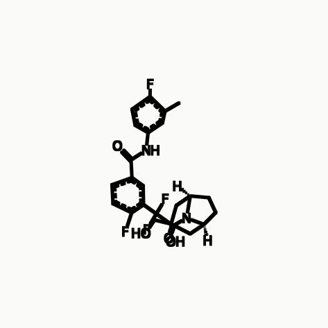 Cc1cc(NC(=O)c2ccc(F)c(C(F)(F)C(=O)N3[C@@H]4CC[C@H]3CC(O)(CO)C4)c2)ccc1F